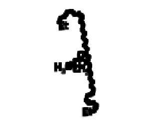 CC/C=C\C/C=C\C/C=C\CCCCCCCCC(CCCCCCCC/C=C\C/C=C\C/C=C\CC)OC(=O)CN(C)C